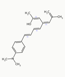 C=C(C)/C=C(\C=C(\C)O)/C=C/C=C/c1ccc(N(C)C)cc1